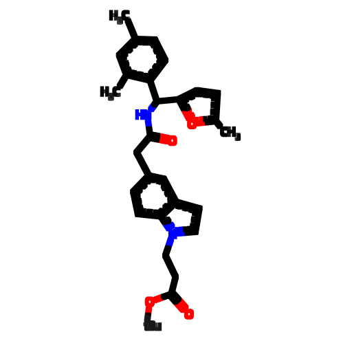 Cc1ccc(C(NC(=O)Cc2ccc3c(ccn3CCC(=O)OC(C)(C)C)c2)c2ccc(C)o2)c(C)c1